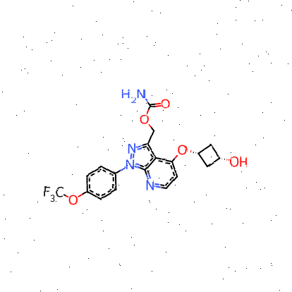 NC(=O)OCc1nn(-c2ccc(OC(F)(F)F)cc2)c2nccc(O[C@H]3C[C@@H](O)C3)c12